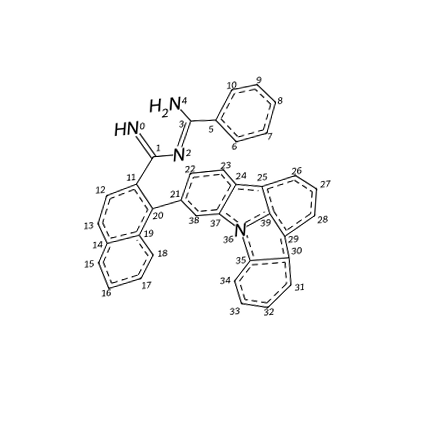 N=C(/N=C(\N)c1ccccc1)c1ccc2ccccc2c1-c1ccc2c3cccc4c5ccccc5n(c2c1)c43